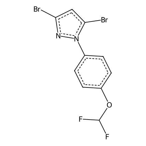 FC(F)Oc1ccc(-n2nc(Br)cc2Br)cc1